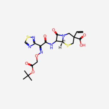 C=CC1(C(=O)O)CS[C@@H]2C(NC(=O)C(=NOCC(=O)OC(C)(C)C)c3ncsn3)C(=O)N2C1